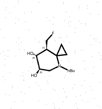 CCCCN1C[C@@H](O)[C@H](O)[C@@H](CF)C12CC2